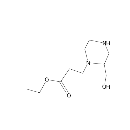 CCOC(=O)CCN1CCNCC1CO